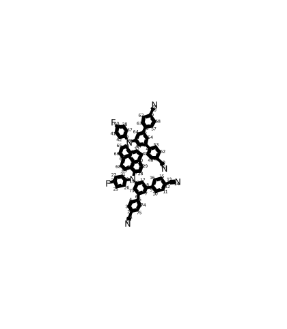 N#Cc1ccc(-c2cc(-c3ccc(C#N)cc3)cc(N(c3ccc(F)cc3)c3ccc4ccc5c(N(c6ccc(F)cc6)c6cc(-c7ccc(C#N)cc7)cc(-c7ccc(C#N)cc7)c6)ccc6ccc3c4c65)c2)cc1